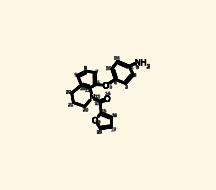 Nc1ccc(Oc2cccc3c2N(C(=O)c2ccco2)CCC3)cc1